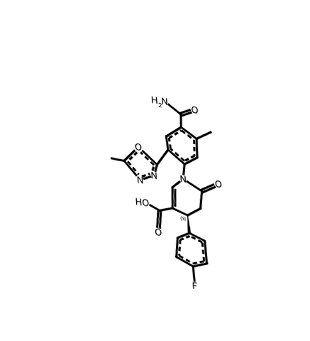 Cc1nnc(-c2cc(C(N)=O)c(C)cc2N2C=C(C(=O)O)[C@H](c3ccc(F)cc3)CC2=O)o1